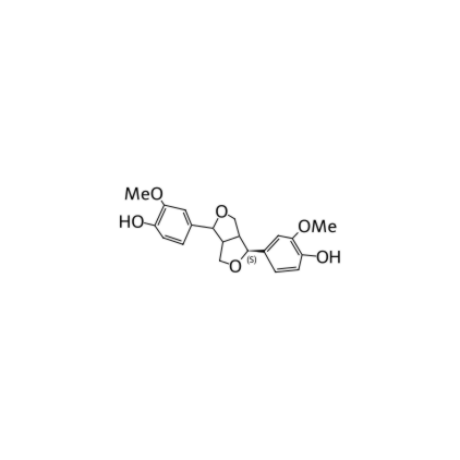 COc1cc(C2OCC3C2CO[C@@H]3c2ccc(O)c(OC)c2)ccc1O